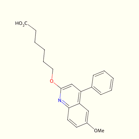 COc1ccc2nc(OCCCCCC(=O)O)cc(-c3ccccc3)c2c1